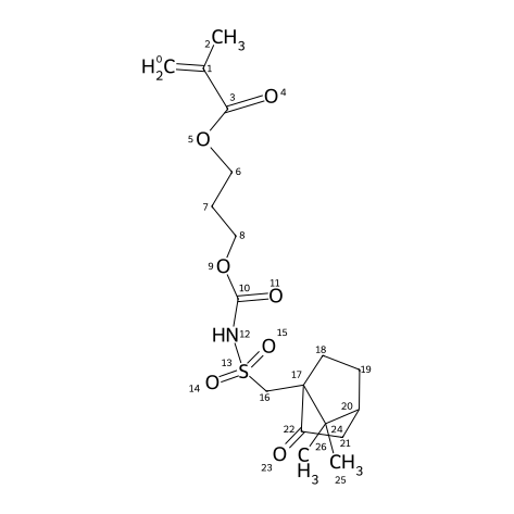 C=C(C)C(=O)OCCCOC(=O)NS(=O)(=O)CC12CCC(CC1=O)C2(C)C